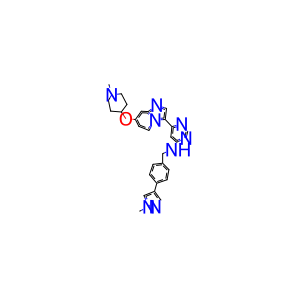 CN1CCC(Oc2ccn3c(-c4cc(NCc5ccc(-c6cnn(C)c6)cc5)ncn4)cnc3c2)CC1